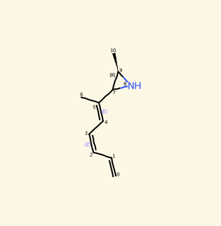 C=C/C=C\C=C(/C)C1N[C@@H]1C